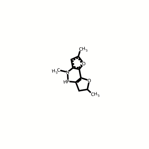 Cc1cc2c(o1)C1=C(CC(C)O1)PN2C